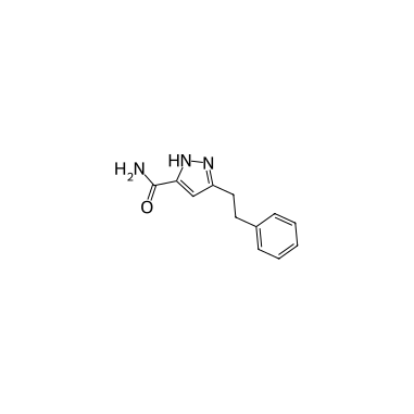 NC(=O)c1cc(CCc2ccccc2)n[nH]1